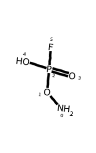 NOP(=O)(O)F